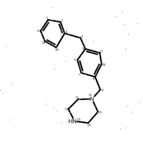 c1ccc(Cc2ccc(CN3CCNCC3)cc2)cc1